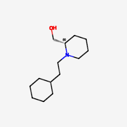 OC[C@@H]1CCCCN1CCC1CCCCC1